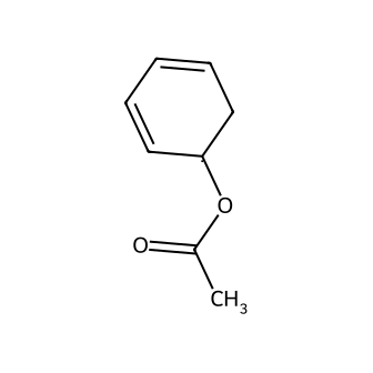 CC(=O)O[C]1C=CC=CC1